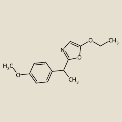 CCOc1cnc(C(C)c2ccc(OC)cc2)o1